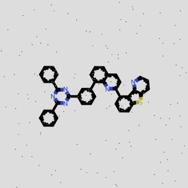 c1ccc(-c2nc(-c3ccccc3)nc(-c3cccc(-c4cccc5ccc(-c6cccc7sc8cccnc8c67)nc45)c3)n2)cc1